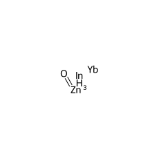 [InH3].[O]=[Zn].[Yb]